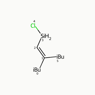 CCC(C)C(=C[SiH2]Cl)C(C)CC